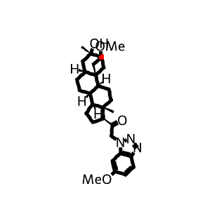 COCC[C@]12CC[C@@](C)(O)C[C@H]1CC[C@H]1[C@@H]3CC[C@H](C(=O)Cn4nnc5ccc(OC)cc54)[C@@]3(C)CC[C@@H]12